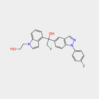 OCCn1ccc2c(C(O)(CF)c3ccc4c(cnn4-c4ccc(F)cc4)c3)cccc21